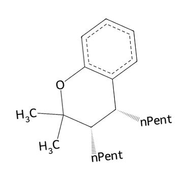 CCCCC[C@H]1c2ccccc2OC(C)(C)[C@H]1CCCCC